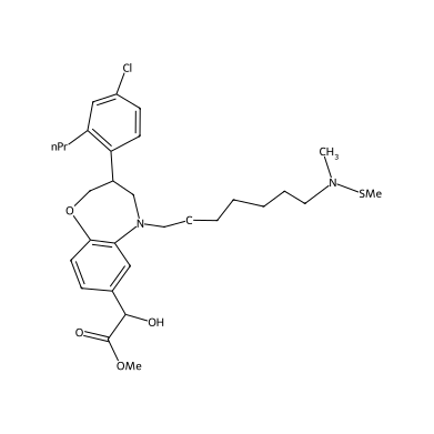 CCCc1cc(Cl)ccc1C1COc2ccc(C(O)C(=O)OC)cc2N(CCCCCCCN(C)SC)C1